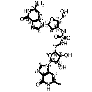 Cc1nc2c(ncn2[C@@H]2O[C@H](CNS(=O)(=O)N[C@H]3C[C@H](n4cnc5c(=O)[nH]c(N)nc54)O[C@@H]3CO)[C@@H](O)[C@H]2O)c(=O)[nH]1